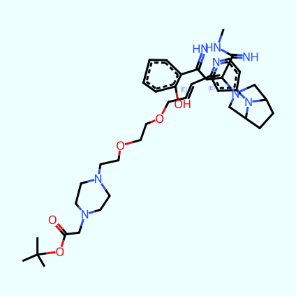 CNC(=N)/C(=C\C(=N)c1ccccc1O)N1CC2CCC(C1)N2c1ccnc(/C=C/COCCOCCN2CCN(CC(=O)OC(C)(C)C)CC2)c1